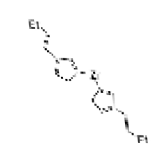 CCC=CC1=CC[C]([Zr][C]2=CC(C=CCC)=CC2)=C1